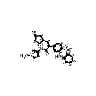 Cn1ccc(NC(=O)C(CC2CCC(=O)C2)c2ccc3c(c2)Nc2ccccc2S3(=O)=O)n1